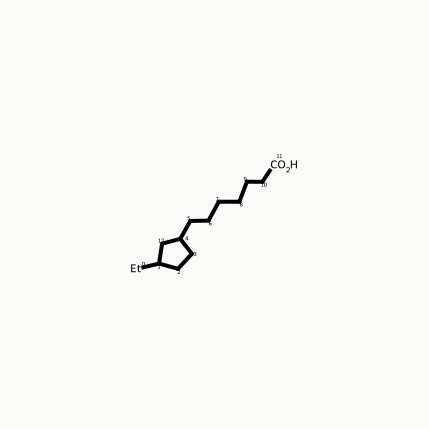 CCC1CCC(CCCCCCC(=O)O)C1